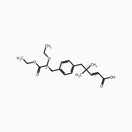 CCOC(=O)[C@H](Cc1ccc(CC(C)(C)/C=C/C(=O)O)cc1)OCC